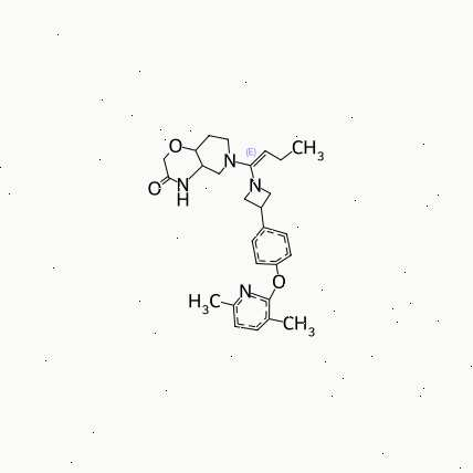 CC/C=C(\N1CC(c2ccc(Oc3nc(C)ccc3C)cc2)C1)N1CCC2OCC(=O)NC2C1